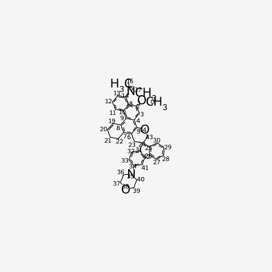 COc1cc2c3c(c4c(c2c2cccc(N(C)C)c12)C=CCC4)CC(c1ccccc1)(c1ccc(N2CCOCC2)cc1)CO3